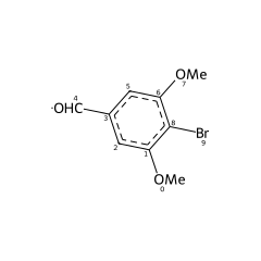 COc1cc([C]=O)cc(OC)c1Br